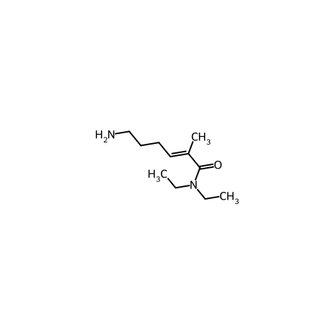 CCN(CC)C(=O)C(C)=CCCCN